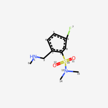 CNCc1ccc(F)cc1S(=O)(=O)N(C)C